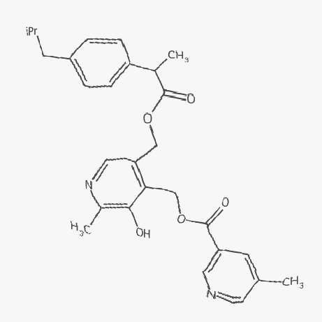 Cc1cncc(C(=O)OCc2c(COC(=O)C(C)c3ccc(CC(C)C)cc3)cnc(C)c2O)c1